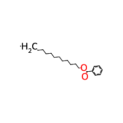 [CH2]CCCCCCCCCCCOC(=O)c1ccccc1